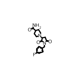 NC(=O)C1CCN(C2CC(=O)N(Cc3ccc(F)cc3)C2=O)CC1